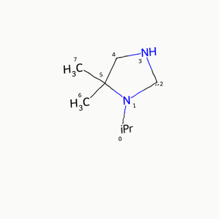 CC(C)N1[C]NCC1(C)C